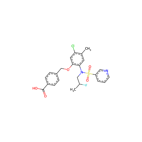 Cc1cc(N(CC(C)F)S(=O)(=O)c2cccnc2)c(OCc2ccc(C(=O)O)cc2)cc1Cl